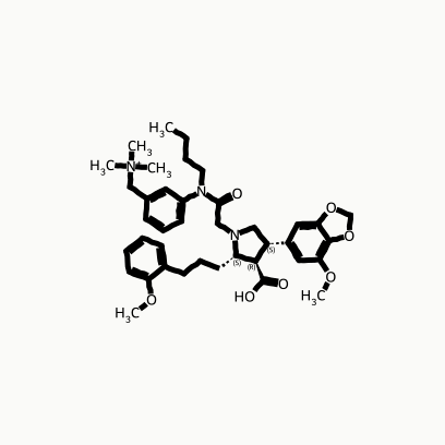 CCCCN(C(=O)CN1C[C@H](c2cc(OC)c3c(c2)OCO3)[C@@H](C(=O)O)[C@@H]1CCCc1ccccc1OC)c1cccc(C[N+](C)(C)C)c1